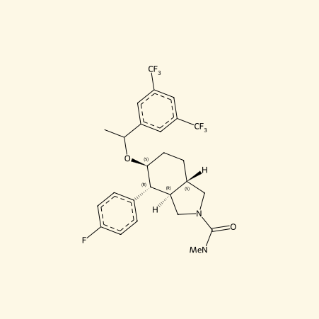 CNC(=O)N1C[C@H]2CC[C@H](OC(C)c3cc(C(F)(F)F)cc(C(F)(F)F)c3)[C@@H](c3ccc(F)cc3)[C@@H]2C1